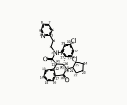 O=C(NCCc1ccccn1)[C@@H]1c2ccccc2C(=O)N(C2CCCC2)[C@H]1c1ccc(Cl)cc1Cl